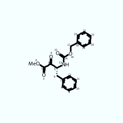 COC(=O)C(=O)[C@@H](Cc1ccccc1)NC(=O)OCc1ccccc1